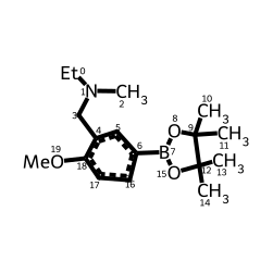 CCN(C)Cc1cc(B2OC(C)(C)C(C)(C)O2)ccc1OC